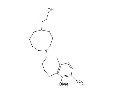 COc1c([N+](=O)[O-])ccc2c1CCCC(N1CCCCC(CCO)CCC1)C2